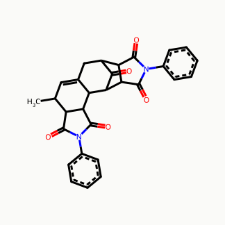 CC1C=C2CC3C(=O)C(C4C(=O)N(c5ccccc5)C(=O)C34)C2C2C(=O)N(c3ccccc3)C(=O)C12